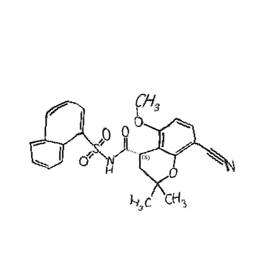 COc1ccc(C#N)c2c1[C@@H](C(=O)NS(=O)(=O)c1cccc3ccccc13)CC(C)(C)O2